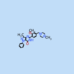 COc1cc(CN2CCN(C)CC2)ccc1-c1nc2c(C)nn(-c3ccccc3)c2c(=O)[nH]1